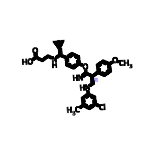 COc1ccc(/C(=C/Nc2cc(C)cc(Cl)c2)C(=N)Oc2ccc(C(NCCC(=O)O)=C3CC3)cc2)cc1